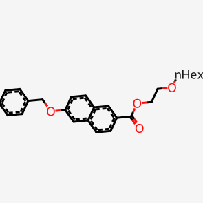 CCCCCCOCCOC(=O)c1ccc2cc(OCc3ccccc3)ccc2c1